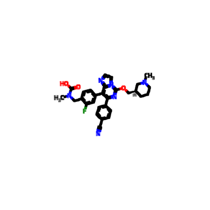 CN1CCC[C@@H](COc2nc(-c3ccc(C#N)cc3)c(-c3ccc(CN(C)C(=O)O)c(F)c3)c3nccn23)C1